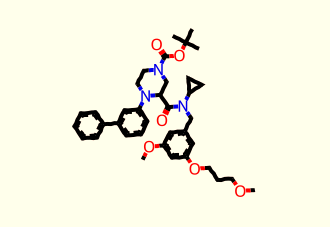 COCCCOc1cc(CN(C(=O)C2CN(C(=O)OC(C)(C)C)CCN2c2cccc(-c3ccccc3)c2)C2CC2)cc(OC)c1